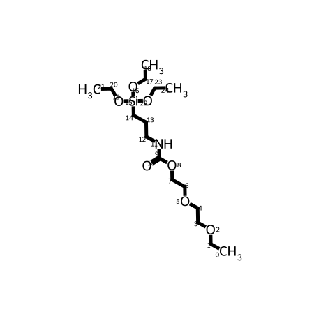 CCOCCOCCOC(=O)NCCC[Si](OCC)(OCC)OCC